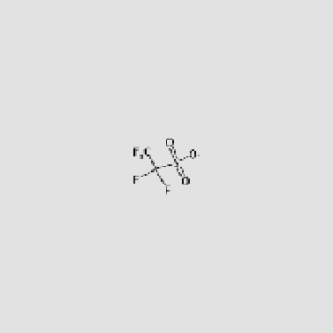 [O]S(=O)(=O)C(F)(F)C(F)(F)F